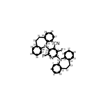 N#Cc1c(F)c(N2c3ccccc3CCc3ccccc32)nc(F)c1N1c2ccccc2CCc2ccccc21